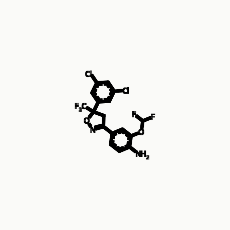 Nc1ccc(C2=NOC(c3cc(Cl)cc(Cl)c3)(C(F)(F)F)C2)cc1OC(F)F